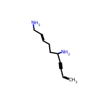 C=CC#CC(N)CC/C=C/CN